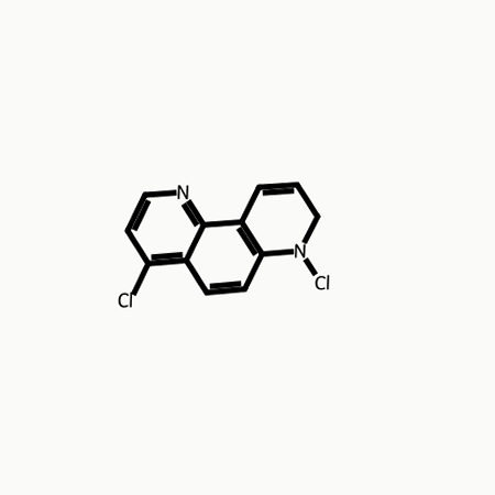 Clc1ccnc2c3c(ccc12)N(Cl)CC=C3